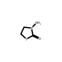 NN1CCSC1=O